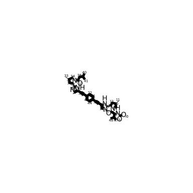 COC(=O)N[C@H](C(=O)N1C[C@@H](C)C[C@H]1c1ncc(C#Cc2ccc(C#Cc3cnc([C@@H]4C[C@H](C)CN4C(=O)CC(C)C)[nH]3)cc2)[nH]1)C(C)C